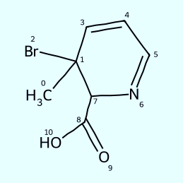 CC1(Br)C=CC=NC1C(=O)O